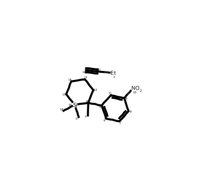 C#CCC.CC1(c2cccc([N+](=O)[O-])c2)CCCC[Si]1(C)C